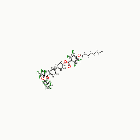 CCCCCCCCOc1c(F)c(F)c(C(=O)Oc2ccc(-c3ccc(C(=O)C(F)(OC(F)(F)C(F)(F)C(F)(F)F)C(F)(F)F)cc3)cc2)c(F)c1F